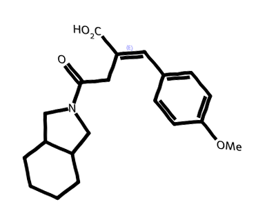 COc1ccc(/C=C(\CC(=O)N2CC3CCCCC3C2)C(=O)O)cc1